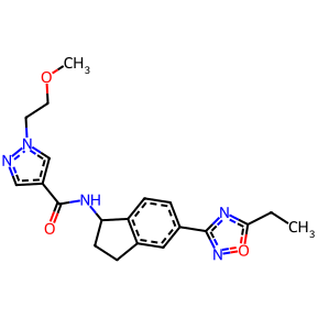 CCc1nc(-c2ccc3c(c2)CCC3NC(=O)c2cnn(CCOC)c2)no1